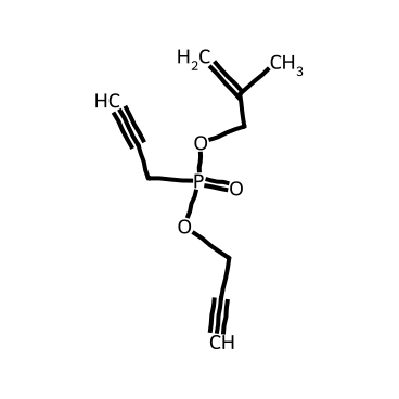 C#CCOP(=O)(CC#C)OCC(=C)C